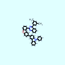 Cc1cc(C)cc(-c2nc(-c3cccc4oc5ccc(-c6ccc7c(c6)c6ccccc6n7-c6ccccc6)cc5c34)nc3ccccc23)c1